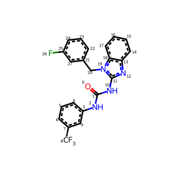 O=C(Nc1cccc(C(F)(F)F)c1)Nc1nc2ccccc2n1Cc1cccc(F)c1